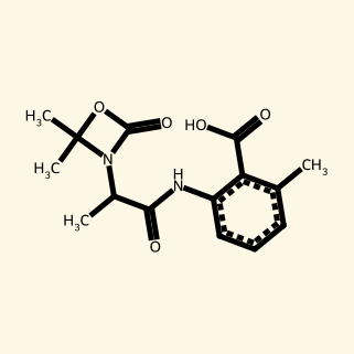 Cc1cccc(NC(=O)C(C)N2C(=O)OC2(C)C)c1C(=O)O